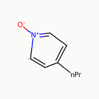 CCCc1c[c][n+]([O-])cc1